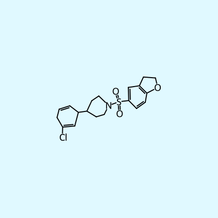 O=S(=O)(c1ccc2c(c1)CCO2)N1CCC(C2C=CCC(Cl)=C2)CC1